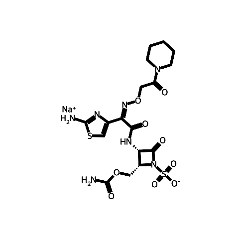 NC(=O)OC[C@@H]1[C@H](NC(=O)/C(=N\OCC(=O)N2CCCCC2)c2csc(N)n2)C(=O)N1S(=O)(=O)[O-].[Na+]